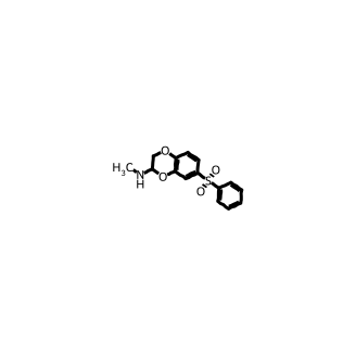 CNC1COc2ccc(S(=O)(=O)c3ccccc3)cc2O1